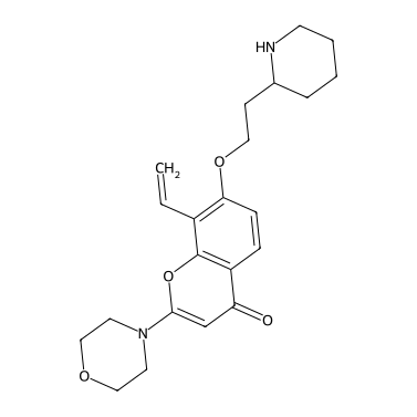 C=Cc1c(OCCC2CCCCN2)ccc2c(=O)cc(N3CCOCC3)oc12